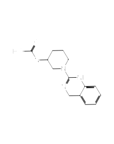 O=C(O)NC1CCCN(C2=NCc3ccccc3N2)C1